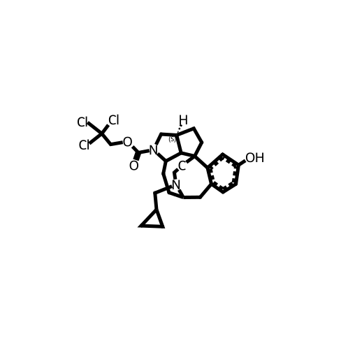 O=C(OCC(Cl)(Cl)Cl)N1C[C@H]2CCC34CCN(CC5CC5)C(CCC1C23)Cc1ccc(O)cc14